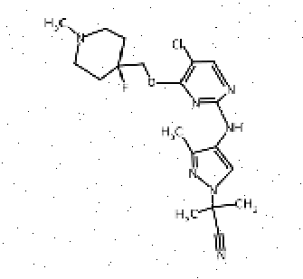 Cc1nn(C(C)(C)C#N)cc1Nc1ncc(Cl)c(OCC2(F)CCN(C)CC2)n1